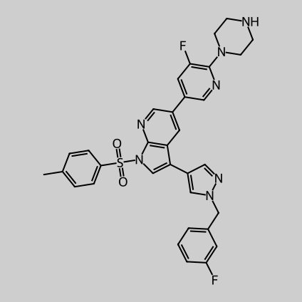 Cc1ccc(S(=O)(=O)n2cc(-c3cnn(Cc4cccc(F)c4)c3)c3cc(-c4cnc(N5CCNCC5)c(F)c4)cnc32)cc1